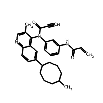 C#CC(=O)N(c1cccc(NC(=O)C=C)c1)c1c(C)cnc2ccc(C3CCCC(C)CCC3)cc12